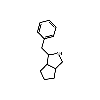 c1ccc(CC2NCC3CCCC32)cc1